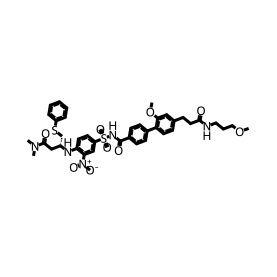 COCCCNC(=O)CCc1ccc(-c2ccc(C(=O)NS(=O)(=O)c3ccc(N[C@@H](CSc4ccccc4)CC(=O)N(C)C)c([N+](=O)[O-])c3)cc2)c(OC)c1